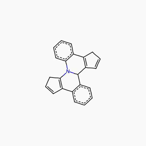 C1=CC2=C(C1)c1ccccc1N1C3=C(C=CC3)c3ccccc3C21